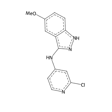 COc1ccc2[nH]nc(Nc3ccnc(Cl)c3)c2c1